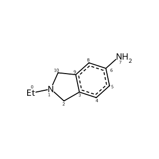 CCN1Cc2ccc(N)cc2C1